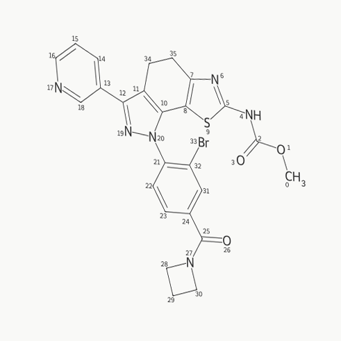 COC(=O)Nc1nc2c(s1)-c1c(c(-c3cccnc3)nn1-c1ccc(C(=O)N3CCC3)cc1Br)CC2